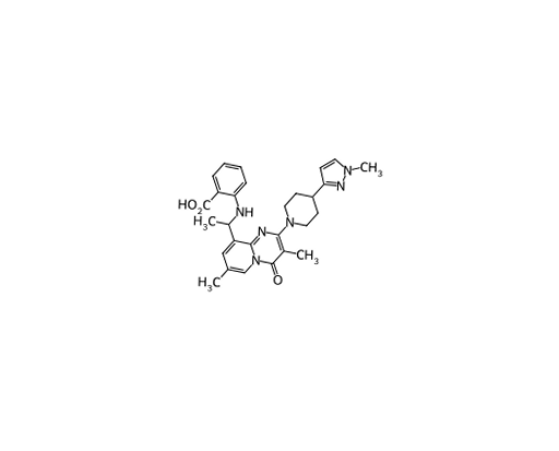 Cc1cc(C(C)Nc2ccccc2C(=O)O)c2nc(N3CCC(c4ccn(C)n4)CC3)c(C)c(=O)n2c1